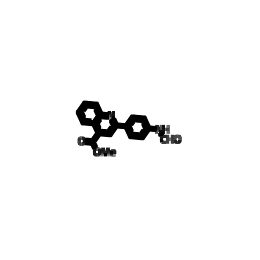 COC(=O)c1cc(-c2ccc(NC=O)cc2)nc2ccccc12